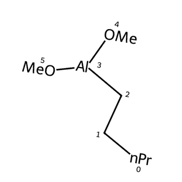 CCCC[CH2][Al]([O]C)[O]C